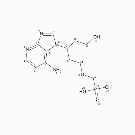 Nc1ncnc2ncn(C(CCO)CCOCP(=O)(O)O)c12